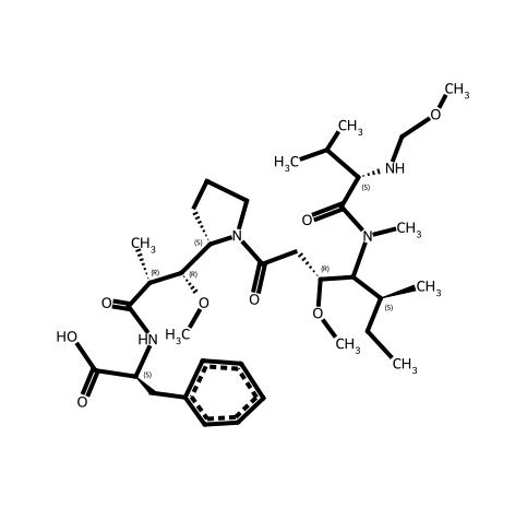 CC[C@H](C)C([C@@H](CC(=O)N1CCC[C@H]1[C@H](OC)[C@@H](C)C(=O)N[C@@H](Cc1ccccc1)C(=O)O)OC)N(C)C(=O)[C@@H](NCOC)C(C)C